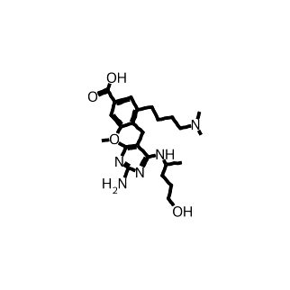 COc1cc(C(=O)O)cc(CCCCN(C)C)c1Cc1c(C)nc(N)nc1NC(C)CCCO